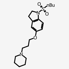 CCCCS(=O)(=O)N1CCc2cc(OCCCN3CCCCC3)ccc21